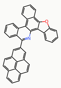 c1cc2ccc3cc(-c4nc5c(c6ccccc46)c4ccccc4c4oc6ccccc6c54)cc4ccc(c1)c2c34